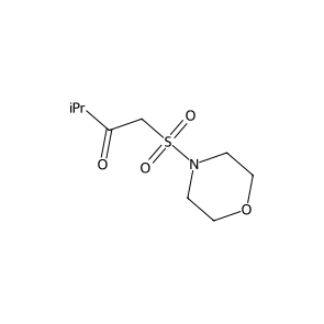 CC(C)C(=O)CS(=O)(=O)N1CCOCC1